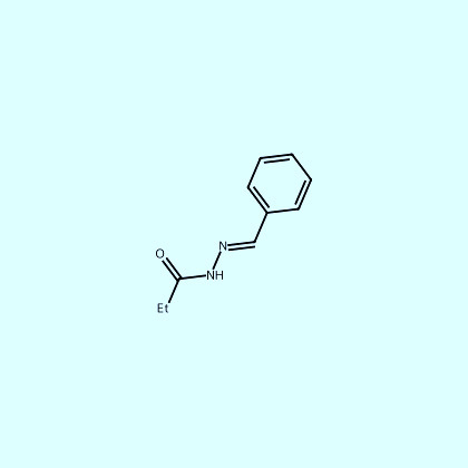 CCC(=O)NN=Cc1ccccc1